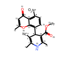 CC1=C(C#N)C(c2ccc([N+](=O)[O-])c3c(=O)cc(C)oc23)C(C(=O)OC(C)C)=C(C)N1